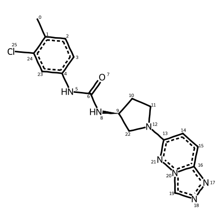 Cc1ccc(NC(=O)N[C@H]2CCN(c3ccc4nncn4n3)C2)cc1Cl